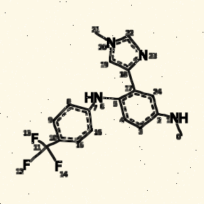 CNc1ccc(Nc2ccc(C(F)(F)F)cc2)c(-c2cn(C)cn2)c1